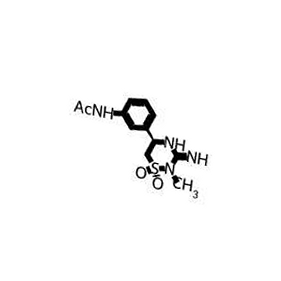 CC(=O)Nc1cccc([C@@H]2CS(=O)(=O)N(C)C(=N)N2)c1